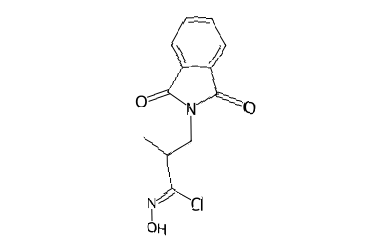 CC(CN1C(=O)c2ccccc2C1=O)C(Cl)=NO